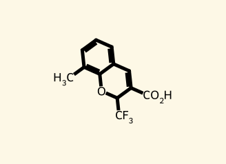 Cc1cccc2c1OC(C(F)(F)F)C(C(=O)O)=C2